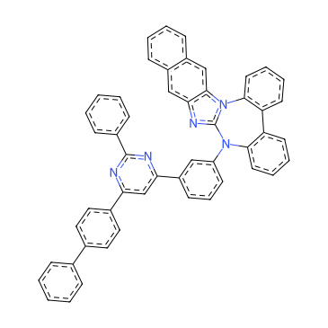 c1ccc(-c2ccc(-c3cc(-c4cccc(N5c6ccccc6-c6ccccc6-n6c5nc5cc7ccccc7cc56)c4)nc(-c4ccccc4)n3)cc2)cc1